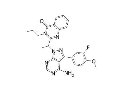 CCCn1c(C(C)n2nc(-c3ccc(OC)c(F)c3)c3c(N)ncnc32)nc2ccccc2c1=O